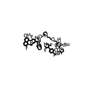 C#Cc1c(F)ccc2cc(O)cc(-c3ncc4c(N5CC6CCC(C5)N6)nc(OC[C@@H]5CCCN5CCCOCCC(=O)N[C@H](C(=O)N5CCC[C@H]5C(=O)N[C@@H](C)c5ccc(-c6c(F)cncc6F)cc5)C(C)(C)C)nc4c3F)c12